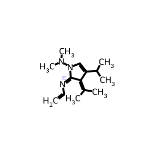 C=C/N=C1\C(=C(C)C)C(C(C)C)=CN1N(C)C